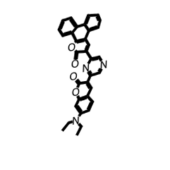 CCN(CC)c1ccc2cc(-c3cncc(-c4cc5c6ccccc6c6ccccc6c5oc4=O)n3)c(=O)oc2c1